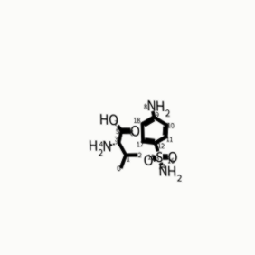 CC(C)[C@H](N)C(=O)O.Nc1ccc(S(N)(=O)=O)cc1